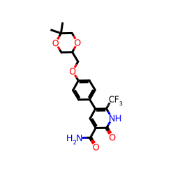 CC1(C)COC(COc2ccc(-c3cc(C(N)=O)c(=O)[nH]c3C(F)(F)F)cc2)CO1